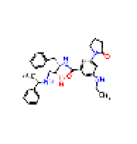 CCNc1cc(C(=O)N[C@@H](Cc2ccccc2)[C@H](O)CN[C@@H](C)c2ccccc2)cc(N2CCCC2=O)c1